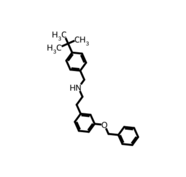 CC(C)(C)c1ccc(CNCCc2cccc(OCc3ccccc3)c2)cc1